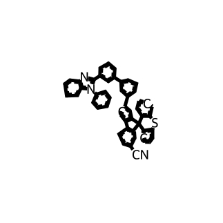 N#Cc1ccc2c(c1)C1(c3ccccc3Sc3ccccc31)c1cc(-c3cccc(-c4cccc(-c5nc6ccccc6n5-c5ccccc5)c4)c3)ccc1-2